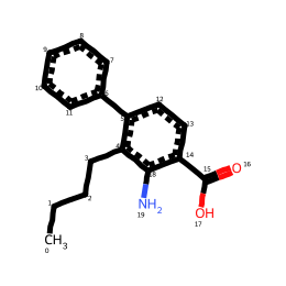 CCCCc1c(-c2ccccc2)ccc(C(=O)O)c1N